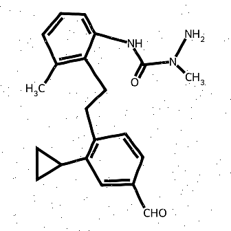 Cc1cccc(NC(=O)N(C)N)c1CCc1ccc(C=O)cc1C1CC1